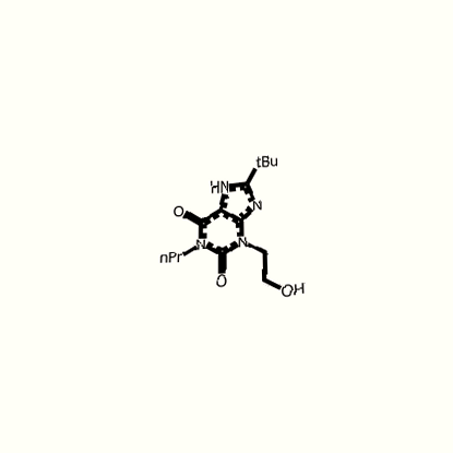 CCCn1c(=O)c2[nH]c(C(C)(C)C)nc2n(CCO)c1=O